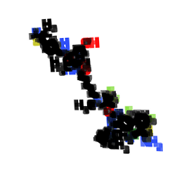 Cc1ncsc1-c1ccc(CNC(=O)[C@@H]2C[C@@H](O)CN2C(=O)[C@@H](NC(=O)CCCCCCN(C)C[C@@]2(COc3nc(NCC4(N(C)C)CCC4)c4cc(Cl)c(-c5ccc(F)c6sc(N)c(C#N)c56)c(F)c4n3)CC2(F)F)C(C)(C)C)cc1